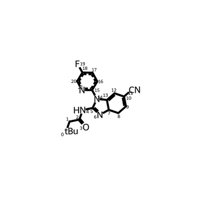 CC(C)(C)CC(=O)NC1=NC2CC=C(C#N)C=C2N1c1ccc(F)cn1